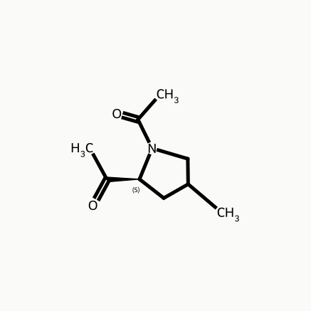 CC(=O)[C@@H]1CC(C)CN1C(C)=O